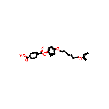 C=CC(=C)OCCCCCCOc1ccc(OC(=O)C2CCC(C(=O)O)CC2)cc1